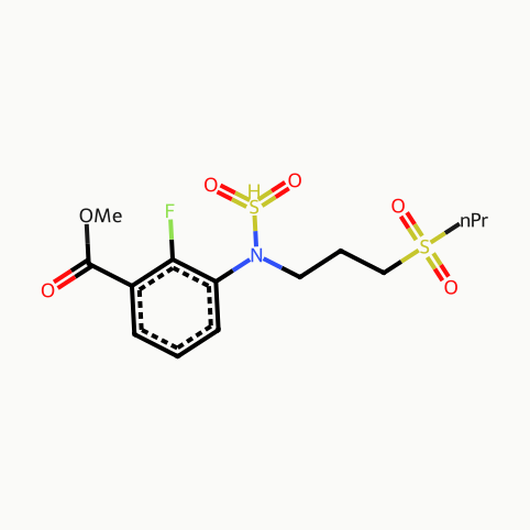 CCCS(=O)(=O)CCCN(c1cccc(C(=O)OC)c1F)[SH](=O)=O